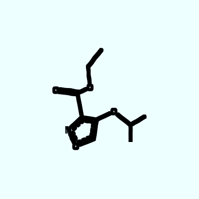 CCOC(=O)c1nocc1OC(C)C